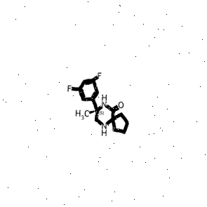 C[C@]1(c2cc(F)cc(F)c2)CNC2(CCCC2)C(=O)N1